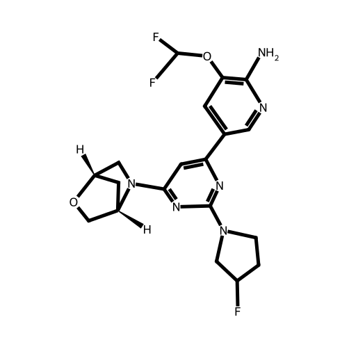 Nc1ncc(-c2cc(N3C[C@@H]4C[C@H]3CO4)nc(N3CCC(F)C3)n2)cc1OC(F)F